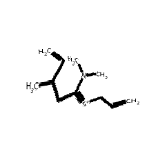 C=CC[S+]=C(CC(C)C=C)N(C)C